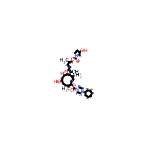 C/C(=C\C=C\[C@@H](C)COC(=O)N1CC[C@@H](O)C1)[C@H]1C(=O)C(=O)C[C@@H](O)CC[C@@H](C)[C@@H](OC(=O)N2CCN(C3CCCCCC3)CC2)/C=C/[C@@H]1C